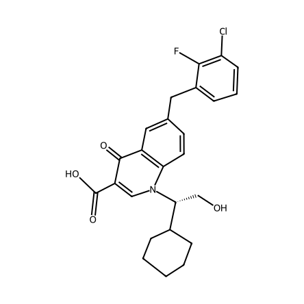 O=C(O)c1cn([C@H](CO)C2CCCCC2)c2ccc(Cc3cccc(Cl)c3F)cc2c1=O